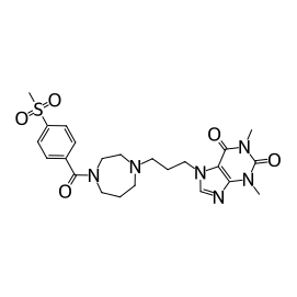 Cn1c(=O)c2c(ncn2CCCN2CCCN(C(=O)c3ccc(S(C)(=O)=O)cc3)CC2)n(C)c1=O